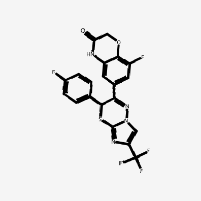 O=C1COc2c(F)cc(C3=Nn4cc(C(F)(F)F)nc4SC3c3ccc(F)cc3)cc2N1